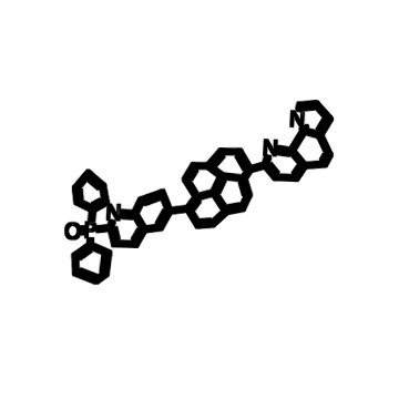 O=P(c1ccccc1)(c1ccccc1)c1ccc2cc(-c3ccc4ccc5c(-c6ccc7ccc8cccnc8c7n6)ccc6ccc3c4c65)ccc2n1